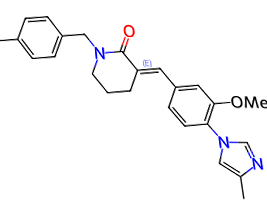 C=C(C)c1ccc(CN2CCC/C(=C\c3ccc(-n4cnc(C)c4)c(OC)c3)C2=O)cc1